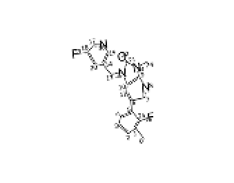 Cc1cccc(-c2cnc3c(c2)n(Cc2cncc(F)c2)c(=O)n3C)c1F